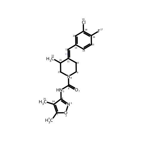 Cc1onc(NC(=O)N2CC/C(=C\c3ccc(F)c(Cl)c3)C(C)C2)c1C